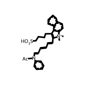 CC(=O)N(C=CC=CC=CC1=C(CCCCS(=O)(=O)O)c2c(ccc3ccccc23)[N+]1(C)C)c1ccccc1